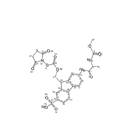 COC(=O)NC(C)C(=O)Nc1ccc2c(c1)C(COC(=O)ON1C(=O)CCC1=O)c1cc(S(=O)(=O)O)ccc1-2